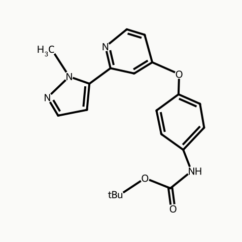 Cn1nccc1-c1cc(Oc2ccc(NC(=O)OC(C)(C)C)cc2)ccn1